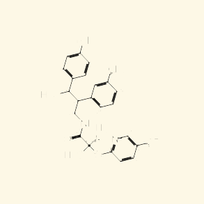 CC(c1ccc(Cl)cc1)C(CNC(=O)C(C)(C)Oc1ccc(C(F)(F)F)cn1)c1cccc(C(F)(F)F)c1